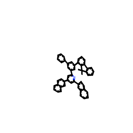 CC1(C)c2ccccc2-c2cccc(-c3cc(-c4ccccc4)cc(-c4cc(-c5ccc6ccccc6c5)cc(-c5ccc6ccccc6c5)n4)c3)c21